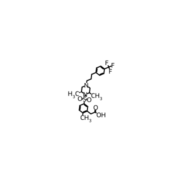 Cc1ccc(S(=O)(=O)N2C(C)CN(CCCc3ccc(C(F)(F)F)cc3)C[C@@H]2C)cc1CC(=O)O